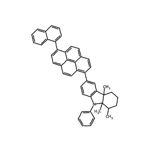 CC1CCCC2(C)c3cc(-c4ccc5ccc6c(-c7cccc8ccccc78)ccc7ccc4c5c76)ccc3N(c3ccccc3)C12C